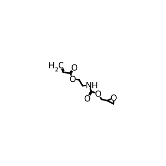 C=CC(=O)OCCNC(=O)OCC1CO1